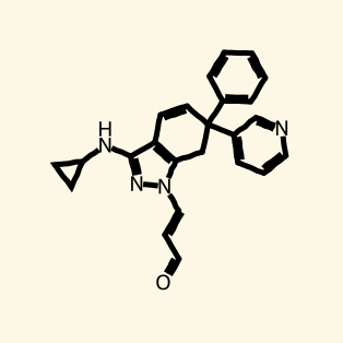 O=CC=Cn1nc(NC2CC2)c2c1CC(c1ccccc1)(c1cccnc1)C=C2